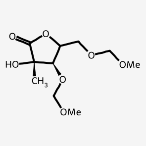 COCOCC1OC(=O)[C@@](C)(O)[C@@H]1OCOC